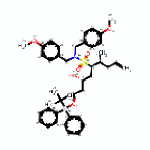 C=CC[C@H](C)[C@@H](C[C@@H](O)CCO[Si](c1ccccc1)(c1ccccc1)C(C)(C)C)S(=O)(=O)N(Cc1ccc(OC)cc1)Cc1ccc(OC)cc1